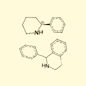 c1ccc(C2NCCc3ccccc32)cc1.c1ccc([C@@H]2CCCCN2)cc1